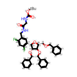 CC(C)(C)OC(=O)NCC(=O)NCc1cc([C@@H]2O[C@H](COCc3ccccc3)C(OCc3ccccc3)[C@@H]2OCc2ccccc2)c(F)cc1F